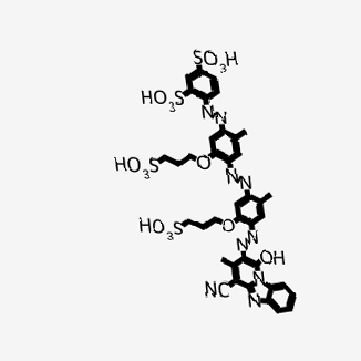 Cc1cc(N=Nc2c(C)c(C#N)c3nc4ccccc4n3c2O)c(OCCCS(=O)(=O)O)cc1N=Nc1cc(C)c(N=Nc2ccc(S(=O)(=O)O)cc2S(=O)(=O)O)cc1OCCCS(=O)(=O)O